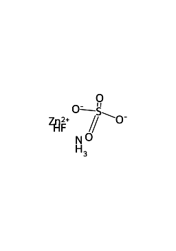 F.N.O=S(=O)([O-])[O-].[Zn+2]